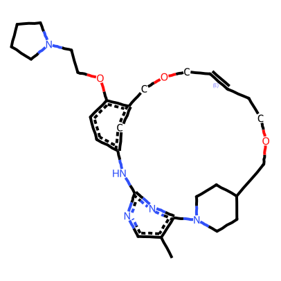 Cc1cnc2nc1N1CCC(CC1)COCC/C=C/COCc1cc(ccc1OCCN1CCCC1)N2